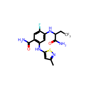 Cc1cc(Nc2cc(NC(CC(F)(F)F)C(N)=O)c(F)cc2C(N)=O)sn1